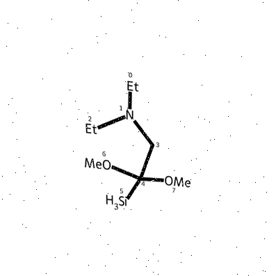 CCN(CC)CC([SiH3])(OC)OC